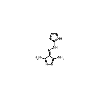 NC1=NN=C(N)C1=NNc1ncc[nH]1